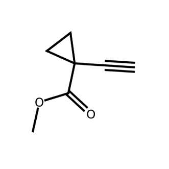 C#CC1(C(=O)OC)CC1